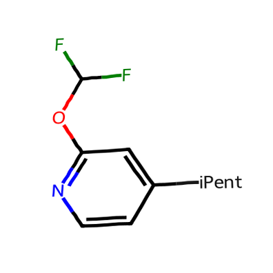 CCCC(C)c1ccnc(OC(F)F)c1